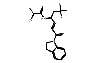 C[C@H](N)C(=O)NC(C=CC(=O)N1CCc2ccccc21)CC(F)(F)F